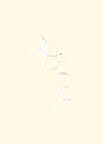 Cc1ccc(Sc2ccc3c(c2)CC[C@H]2N(C)C(=O)CC[C@]32C)cc1